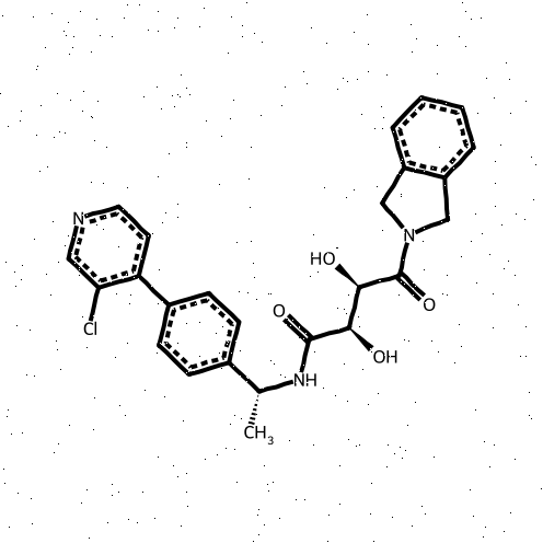 C[C@@H](NC(=O)[C@H](O)[C@@H](O)C(=O)N1Cc2ccccc2C1)c1ccc(-c2ccncc2Cl)cc1